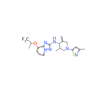 C=C1CN(c2cc(C)ns2)CC(C)C1Nc1nc2c(OC(C)C(F)(F)F)cccn2n1